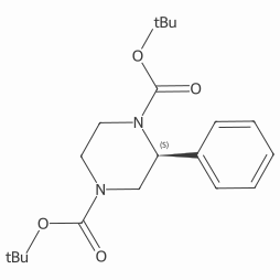 CC(C)(C)OC(=O)N1CCN(C(=O)OC(C)(C)C)[C@@H](c2ccccc2)C1